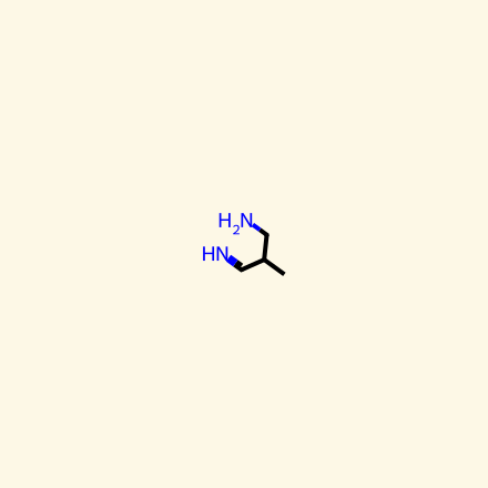 CC(C=N)CN